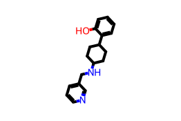 Oc1ccccc1C1CCC(NCc2cccnc2)CC1